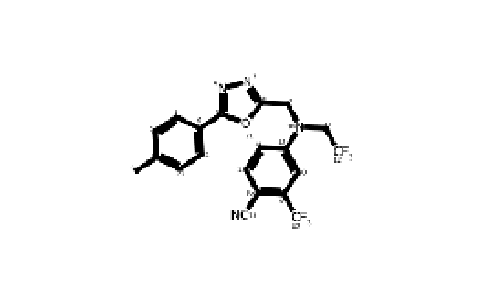 Cc1ccc(-c2nnc(CN(CC(F)(F)F)c3ccc(C#N)c(C(F)(F)F)c3)o2)cc1